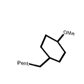 CCCC(C)CC1CCC(OC)CC1